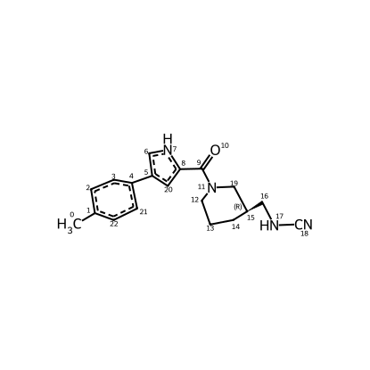 Cc1ccc(-c2c[nH]c(C(=O)N3CCC[C@H](CNC#N)C3)c2)cc1